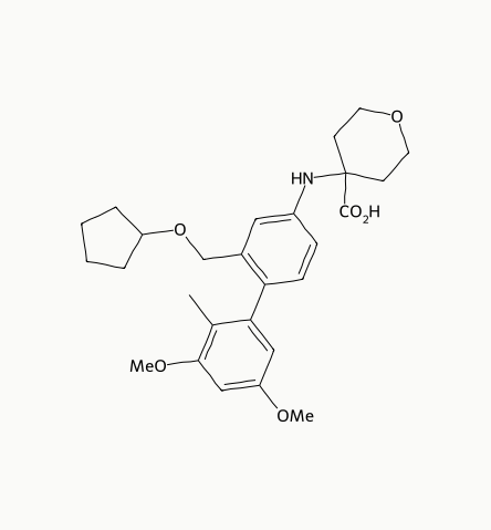 COc1cc(OC)c(C)c(-c2ccc(NC3(C(=O)O)CCOCC3)cc2COC2CCCC2)c1